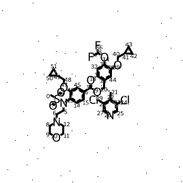 CS(=O)(=O)N(CCN1CCOCC1)c1ccc(C(=O)O[C@@H](Cc2c(Cl)cncc2Cl)c2ccc(OC(F)F)c(OCC3CC3)c2)cc1OCC1CC1